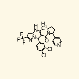 CC1=C(C(=O)N2CCCC2c2ccncc2)C(c2ccc(Cl)c(Cl)c2)n2nc(C(F)(F)F)cc2N1